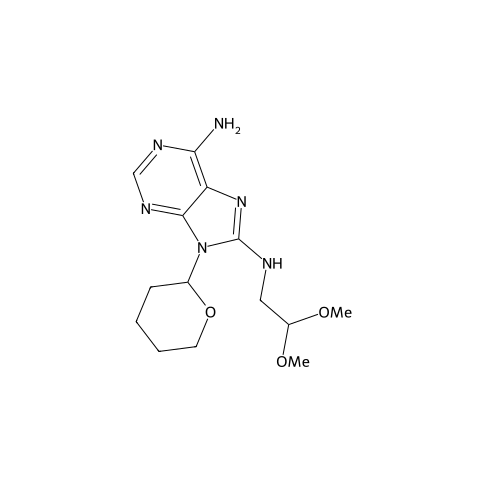 COC(CNc1nc2c(N)ncnc2n1C1CCCCO1)OC